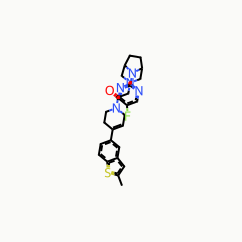 Cc1cc2cc(C3=CCN(C(=O)CN4CC5CCC(C4)N5c4ncc(F)cn4)CC3)ccc2s1